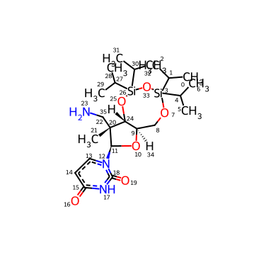 CC(C)[Si]1(C(C)C)OC[C@H]2O[C@@H](n3ccc(=O)[nH]c3=O)[C@](C)(CN)[C@@H]2O[Si](C(C)C)(C(C)C)O1